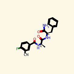 C[C@@H](NC(=O)c1ccc(F)c(C#N)c1)C(=O)N[C@H](Cc1ccccc1)C(N)=O